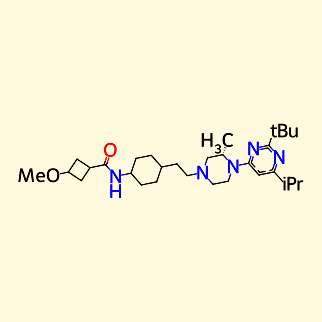 COC1CC(C(=O)NC2CCC(CCN3CCN(c4cc(C(C)C)nc(C(C)(C)C)n4)[C@@H](C)C3)CC2)C1